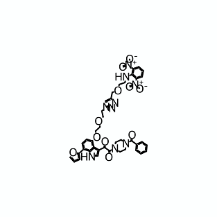 O=C(C(=O)N1CCN(C(=O)c2ccccc2)CC1)c1c[nH]c2c(-c3ccco3)ccc(OCCOCCn3cc(COCCNc4c([N+](=O)[O-])cccc4[N+](=O)[O-])nn3)c12